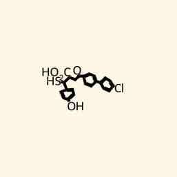 O=C(CC(C(=O)O)C(S)c1ccc(O)cc1)c1ccc(-c2ccc(Cl)cc2)cc1